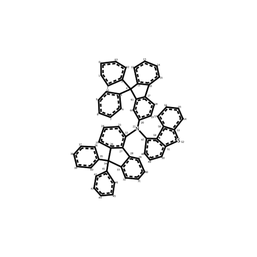 c1ccc(C2(c3ccccc3)c3ccccc3-c3ccc(N(c4cccc5c4-c4ccccc4C5(c4ccccc4)c4ccccc4)c4cccc5sc6ccccc6c45)cc32)cc1